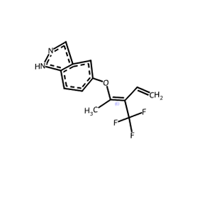 C=C/C(=C(/C)Oc1ccc2[nH]ncc2c1)C(F)(F)F